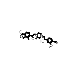 COc1cc(C(O)CN2CCN(CC(O)c3ccc4c(c3C)COC4=O)CC2)ccc1C#N